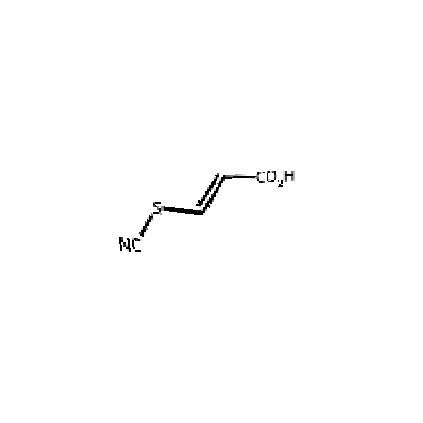 N#CSC=CC(=O)O